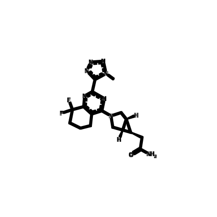 Cn1nnnc1-c1nc(N2C[C@@H]3[C@@H](CC(N)=O)[C@@H]3C2)c2c(n1)C(F)(F)CCC2